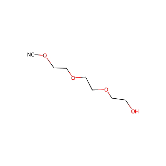 N#COCCOCCOCCO